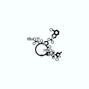 Cc1cc(S(=O)(=O)NC(=O)C23CC2/C=C\CCCCCC(NC(=O)OC(C)(C)C)C(=O)N2CC(OC(=O)N4Cc5cccc(Cl)c5C4)CC2C(=O)N3)c(Cl)s1